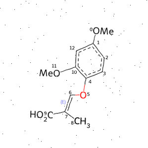 COc1ccc(O/C=C(\C)C(=O)O)c(OC)c1